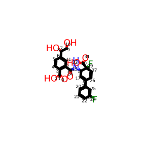 O=C(O)c1ccc(C(O)CO)cc1C(=O)NC1C=C(c2cccc(F)c2)C=CC1(F)C(=O)O